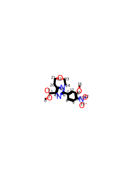 COC(=O)c1nc(-c2ccc([N+](=O)[O-])c(OC)c2)n2c1CCOCC2